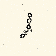 O=C(Nc1ccc(N2CCN(c3ccccc3)CC2)cc1)Oc1ccccc1